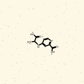 CC(Nc1ccnc(C(=O)O)c1)C(=O)O